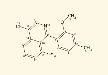 COc1cc(C)ccc1-c1nnc(Cl)c2cccc(F)c12